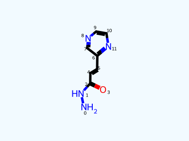 NNC(=O)C=Cc1cnccn1